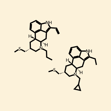 C=Cc1[nH]c2cccc3c2c1C[C@@H]1[C@@H]3C[C@@H](CSC)CN1CCC.CCc1[nH]c2cccc3c2c1C[C@@H]1[C@@H]3C[C@@H](CSC)CN1CC1CC1